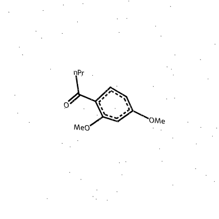 CCCC(=O)c1ccc(OC)cc1OC